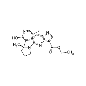 CCOC(=O)c1cnn2ccc(N3CCC[C@]3(C)c3cc(F)cnc3O)nc12